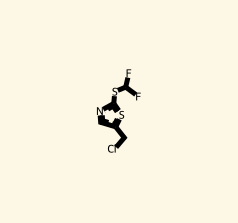 FC(F)Sc1ncc(CCl)s1